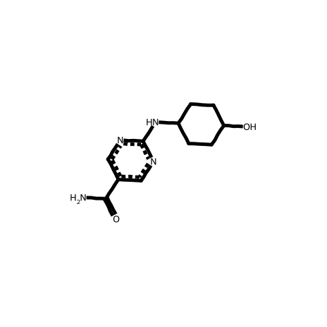 NC(=O)c1cnc(NC2CCC(O)CC2)nc1